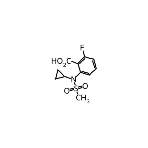 CS(=O)(=O)N(c1cccc(F)c1C(=O)O)C1CC1